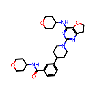 O=C(NC1CCOCC1)c1cccc(C2CCN(c3nc4c(c(NC5CCOCC5)n3)OCC4)CC2)c1